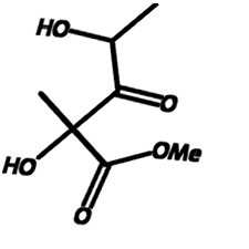 COC(=O)C(C)(O)C(=O)C(C)O